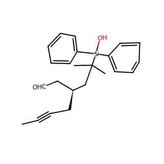 CC#CC[C@@H](CC=O)CC(C)(C)[Si](O)(c1ccccc1)c1ccccc1